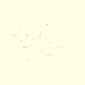 COC(=C1CC(C)(C(=O)O)C(C)(C)C1C(=O)O)c1ccc(OC)c(O[Si](C)(C)C(C)(C)C)c1